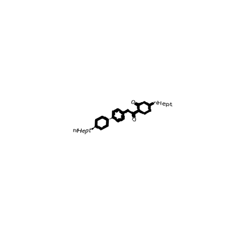 CCCCCCCC1CCC(C(=O)Cc2ccc([C@H]3CC[C@H](CCCCCCC)CC3)cc2)C(=O)C1